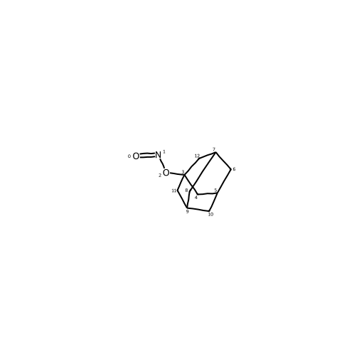 O=NOC12CC3CC(CC(C3)C1)C2